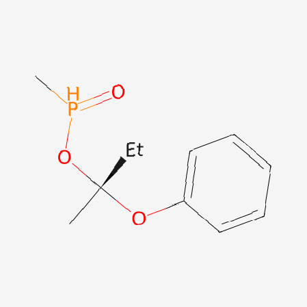 CC[C@](C)(Oc1ccccc1)O[PH](C)=O